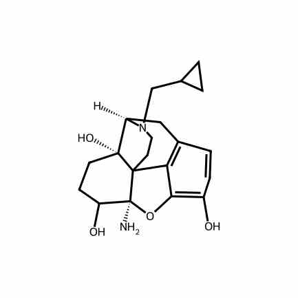 N[C@@]12Oc3c(O)ccc4c3C13CCN(CC1CC1)[C@H](C4)[C@]3(O)CCC2O